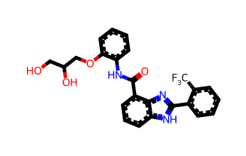 O=C(Nc1ccccc1OCC(O)CO)c1cccc2[nH]c(-c3ccccc3C(F)(F)F)nc12